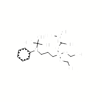 CCO[Si](CCCN(c1ccccc1)C(C)(C)C)(OCC)OC(C)[SiH](C)C